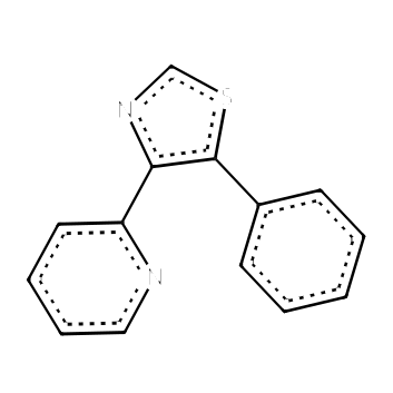 [c]1nc(-c2ccccn2)c(-c2ccccc2)s1